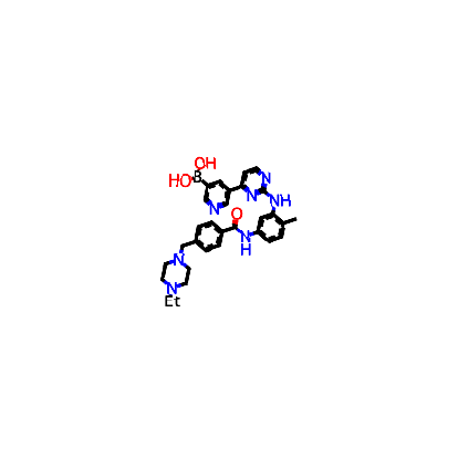 CCN1CCN(Cc2ccc(C(=O)Nc3ccc(C)c(Nc4nccc(-c5cncc(B(O)O)c5)n4)c3)cc2)CC1